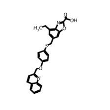 CCc1cc(CSc2ccc(OCc3ccc4ccccc4n3)cc2)cc2oc(C(=O)O)nc12